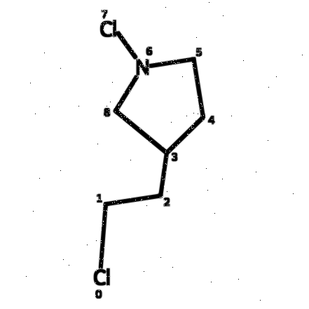 ClCCC1CCN(Cl)C1